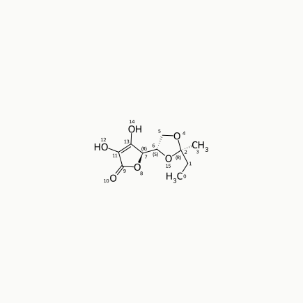 CC[C@]1(C)OC[C@@H]([C@H]2OC(=O)C(O)=C2O)O1